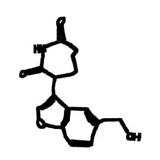 O=C1CCC(c2coc3ccc(CO)cc23)C(=O)N1